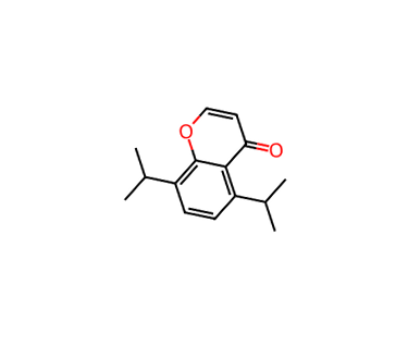 CC(C)c1ccc(C(C)C)c2c(=O)ccoc12